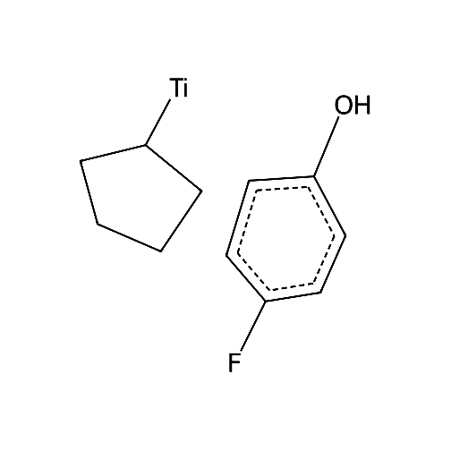 Oc1ccc(F)cc1.[Ti][CH]1CCCC1